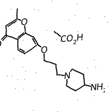 CC(=O)O.Cc1cc(=O)c2ccc(OCCCN3CCC(N)CC3)cc2o1